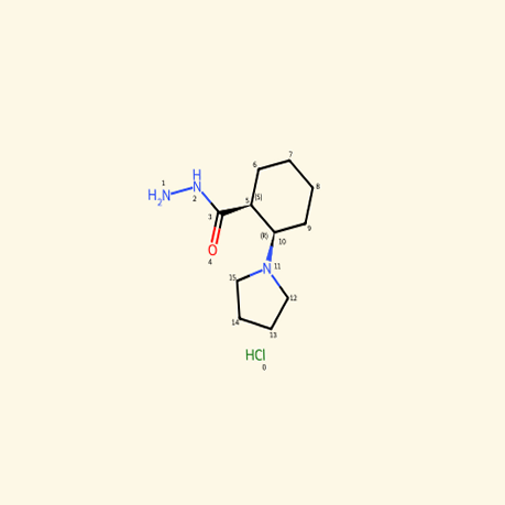 Cl.NNC(=O)[C@H]1CCCC[C@H]1N1CCCC1